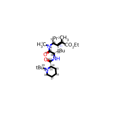 CCOC(=O)/C(C)=C/[C@H](C(C)C)N(C)C(=O)[C@@H](NC(=O)[C@@H]1CCCCN1C(C)(C)C)C(C)(C)C